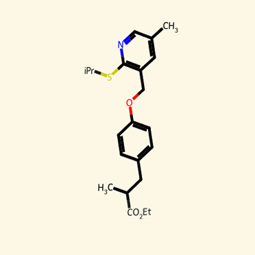 CCOC(=O)C(C)Cc1ccc(OCc2cc(C)cnc2SC(C)C)cc1